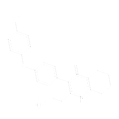 O=c1c2c([nH]c(COP)c1-c1ccc(Oc3ccc(OC(F)(F)F)cc3)cc1)CCCC2